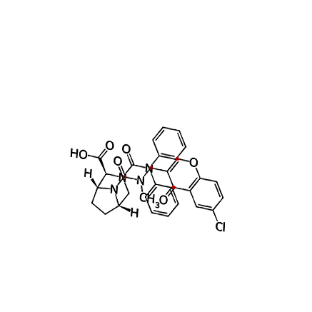 CN(Cc1coc2ccc(Cl)cc2c1=O)C(=O)N1[C@H]2CC[C@@H]1[C@@H](C(=O)O)N(C(=O)N(c1ccccc1)c1ccccc1)C2